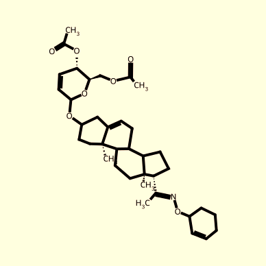 CC(=O)OC[C@H]1OC(OC2CC[C@@]3(C)C(=CCC4C3CC[C@@]3(C)C4CC[C@@H]3/C(C)=N/OC3C=CCCC3)C2)C=C[C@@H]1OC(C)=O